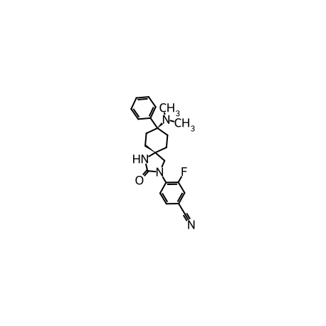 CN(C)[C@]1(c2ccccc2)CC[C@@]2(CC1)CN(c1ccc(C#N)cc1F)C(=O)N2